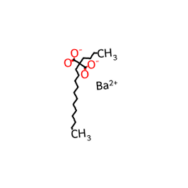 CCCCCCCCCCCCC(CCCC)(C(=O)[O-])C(=O)[O-].[Ba+2]